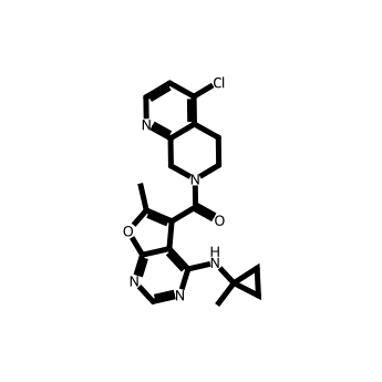 Cc1oc2ncnc(NC3(C)CC3)c2c1C(=O)N1CCc2c(Cl)ccnc2C1